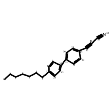 CCCCCCCc1ccc(-c2ccc(C#CC#N)cc2)cc1